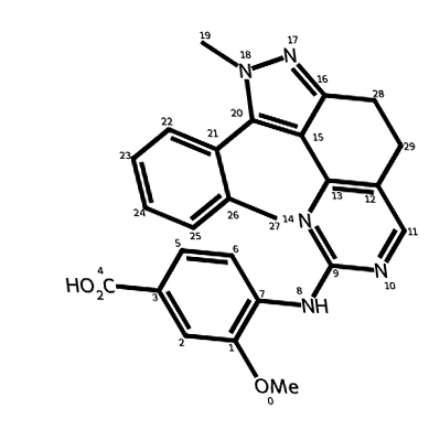 COc1cc(C(=O)O)ccc1Nc1ncc2c(n1)-c1c(nn(C)c1-c1ccccc1C)CC2